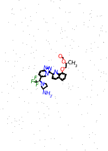 C[C@H](COc1cccc2ccc(-c3nnc4ccc([C@@H](N5CC[C@H](N)C5)C(F)(F)F)cn34)nc12)OC=O